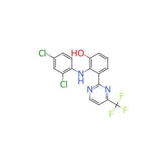 Oc1cccc(-c2nccc(C(F)(F)F)n2)c1Nc1ccc(Cl)cc1Cl